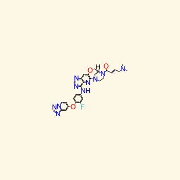 CN(C)C/C=C/C(=O)N1CCN2C[C@H]1COc1cc3ncnc(Nc4ccc(Oc5ccn6ncnc6c5)c(F)c4)c3nc12